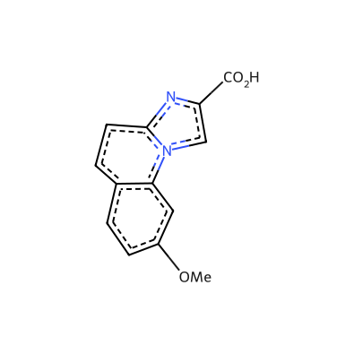 COc1ccc2ccc3nc(C(=O)O)cn3c2c1